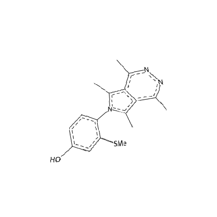 CSc1cc(O)ccc1-n1c(C)c2c(C)nnc(C)c2c1C